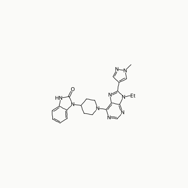 CCn1c(-c2cnn(C)c2)nc2c(N3CCC(n4c(=O)[nH]c5ccccc54)CC3)ncnc21